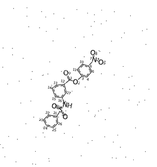 O=C(Oc1ccc([N+](=O)[O-])cc1)c1cccc(NS(=O)(=O)c2ccccc2)c1